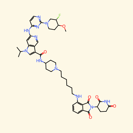 COC1CCN(c2nccc(Nc3cc4c(cn3)c(C(=O)NC3CCN(CCCCCCNc5cccc6c5C(=O)N(C5CCC(=O)NC5=O)C6=O)CC3)cn4C(C)C)n2)C[C@H]1F